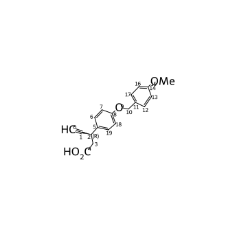 C#C[C@H](CC(=O)O)c1ccc(OCc2ccc(OC)cc2)cc1